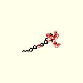 C=C(C)C(=O)OCC(COC(=O)CC(=O)OC)(COC(=O)CC(=O)OC)COc1ccc(-c2ccc(OCC3CCC(C4CCC(CCCCC)CC4)CC3)cc2)cc1CCC1CO1